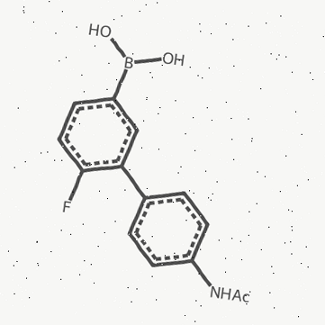 CC(=O)Nc1ccc(-c2cc(B(O)O)ccc2F)cc1